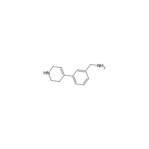 NCc1cccc(C2=CCNCC2)c1